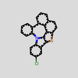 Clc1ccc2c(c1)c1sc3ccc4cccc5c6ccccc6n2c1c3c45